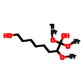 CC(C)OC(CCCCCCO)C(O)(OC(C)C)OC(C)C.[Ti]